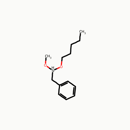 CCCCCO[SiH](Cc1ccccc1)OC